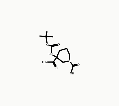 CC(C)(C)OC(=O)NC1(C(N)=O)CCCN(C(=O)O)C1